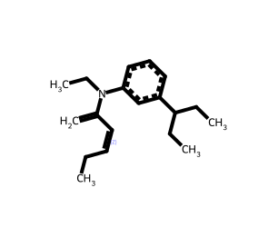 C=C(/C=C\CC)N(CC)c1cccc(C(CC)CC)c1